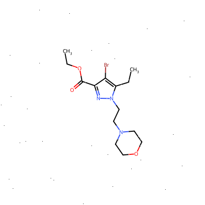 CCOC(=O)c1nn(CCN2CCOCC2)c(CC)c1Br